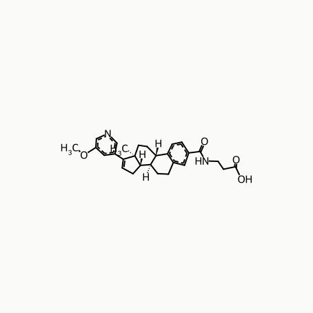 COc1cncc(C2=CC[C@H]3[C@@H]4CCc5cc(C(=O)NCCC(=O)O)ccc5[C@H]4CC[C@]23C)c1